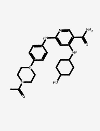 CC(=O)N1CCN(c2ccc(Nc3cc(NC4CCC(O)CC4)c(C(N)=O)cn3)cc2)CC1